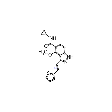 COc1c(C(=O)NC2CC2)ccc2[nH]nc(/C=C/c3cccs3)c12